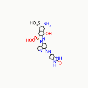 Nc1cc2c(O)c(N=Nc3ccc(N=Nc4ccc5[nH]c(=O)[nH]c5c4)c4ncccc34)c(SOOO)cc2cc1S(=O)(=O)O